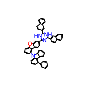 c1ccc(-c2cccc3c2c2ccccc2n3-c2cccc3oc4cc(C5=NC(c6ccc7ccccc7c6)NC(c6ccc7ccccc7c6)N5)ccc4c23)cc1